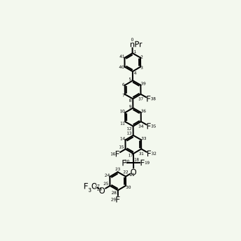 CCCc1ccc(-c2ccc(-c3ccc(-c4cc(F)c(C(F)(F)Oc5ccc(OC(F)(F)F)c(F)c5)c(F)c4)c(F)c3)c(F)c2)cc1